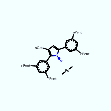 CCCCCCCCC1=C(c2cc(CCCCC)cc(CCCCC)c2)[N+](=[N-])C(c2cc(CCCCC)cc(CCCCC)c2)=C1.[CH3][Pd][CH3]